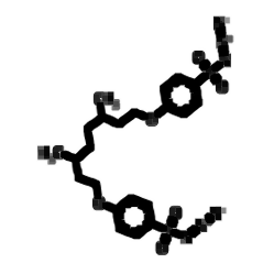 CC(CCOc1ccc(S(=O)(=O)N=[N+]=[N-])cc1)CCC(C)CCOc1ccc(S(=O)(=O)N=[N+]=[N-])cc1